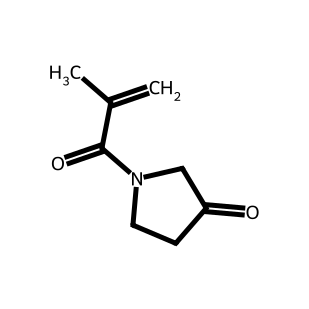 C=C(C)C(=O)N1CCC(=O)C1